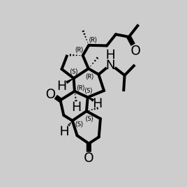 CC(=O)CC[C@@H](C)[C@H]1CC[C@H]2[C@@H]3C(=O)C[C@@H]4CC(=O)CC[C@]4(C)[C@H]3CC(NC(C)C)[C@]12C